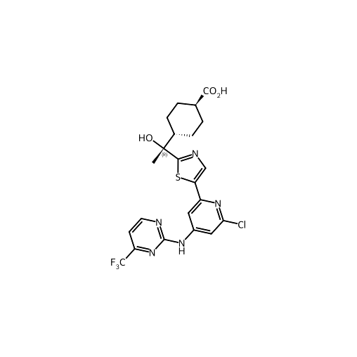 C[C@](O)(c1ncc(-c2cc(Nc3nccc(C(F)(F)F)n3)cc(Cl)n2)s1)[C@H]1CC[C@H](C(=O)O)CC1